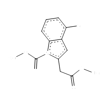 CC(C)(C)OC(=O)Cc1cc2c(Br)cccc2n1C(=O)OC(C)(C)C